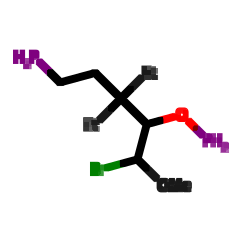 CCC(CC)(CCP)C(OP)C(Br)OC